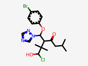 CC(C)CC(=O)C(C(Oc1ccc(Br)cc1)n1cncn1)C(C)(C)C(O)Cl